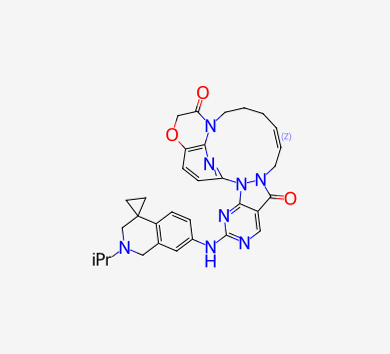 CC(C)N1Cc2cc(Nc3ncc4c(=O)n5n(c4n3)-c3ccc4c(n3)N(CCC/C=C\C5)C(=O)CO4)ccc2C2(CC2)C1